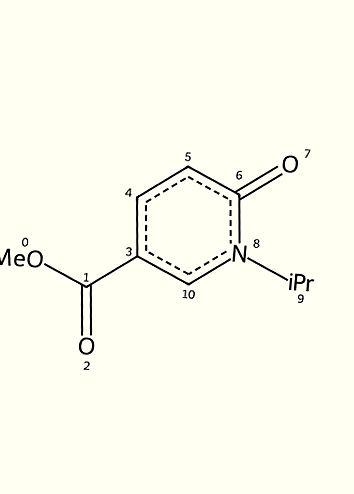 COC(=O)c1ccc(=O)n(C(C)C)c1